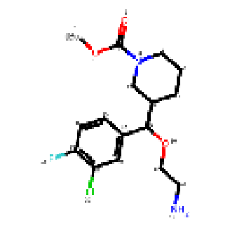 CC(C)(C)OC(=O)N1CCCC(C(OCCN)c2ccc(F)c(Cl)c2)C1